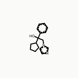 OC(Cn1ccnc1)(c1ccccc1)C1CCCC1